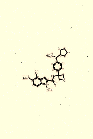 COc1ccc2c(cc(C(=O)NC3(c4ccc([C@@H](C(=O)O)C5CCCC5)cc4)COC3)n2C)c1Cl